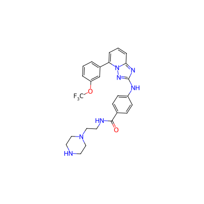 O=C(NCCN1CCNCC1)c1ccc(Nc2nc3cccc(-c4cccc(OC(F)(F)F)c4)n3n2)cc1